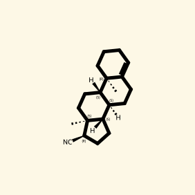 C[C@]12CC[C@H]3[C@@H](CCC4=CCCC[C@@]43C)[C@@H]1CC[C@H]2C#N